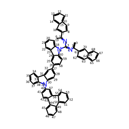 C=C(/N=C(\N=C(/C)c1ccc2ccccc2c1)n1c2ccccc2c2cc(-c3ccc4c(c3)c3ccccc3n4-c3ccc4c5ccccc5c5ccccc5c4c3)ccc21)c1ccc2ccccc2c1